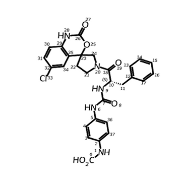 O=C(O)Nc1ccc(NC(=O)N[C@@H](Cc2ccccc2)C(=O)N2CCC3(C2)OC(=O)Nc2ccc(Cl)cc23)cc1